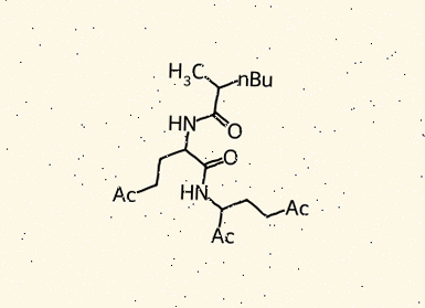 CCCCC(C)C(=O)NC(CCC(C)=O)C(=O)NC(CCC(C)=O)C(C)=O